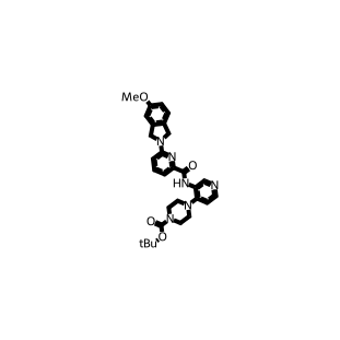 COc1ccc2c(c1)CN(c1cccc(C(=O)Nc3cnccc3N3CCN(C(=O)OC(C)(C)C)CC3)n1)C2